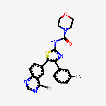 CCc1ncnc2ccc(-c3sc(NC(=O)N4CCOCC4)nc3-c3cccc(C#N)c3)cc12